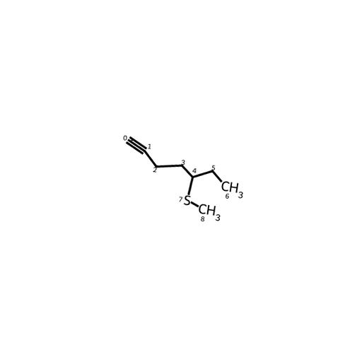 [C]#CCCC(CC)SC